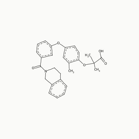 Cc1cc(Oc2cccc(C(=O)N3CCc4ccccc4C3)c2)ccc1OC(C)(C)C(=O)O